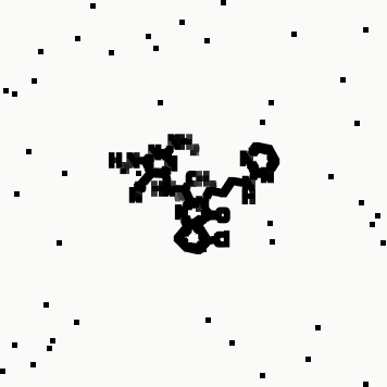 C[C@H](Nc1nc(N)nc(N)c1C#N)c1nc2cccc(Cl)c2c(=O)n1CCCNc1ncccn1